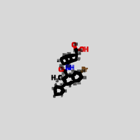 Cc1c(-c2ccccc2)cc2ccc(Br)cc2c1C(=O)NC12C3C4C1C1C2C3C41C(=O)O